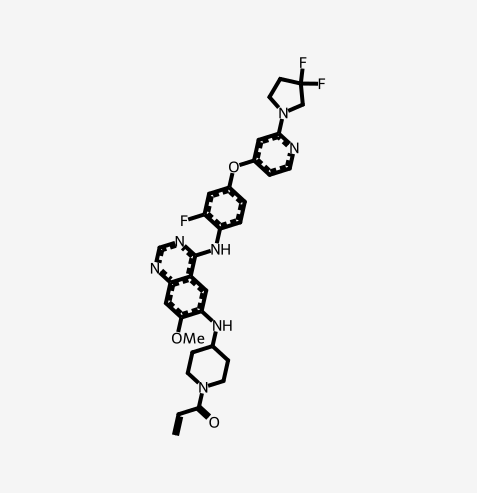 C=CC(=O)N1CCC(Nc2cc3c(Nc4ccc(Oc5ccnc(N6CCC(F)(F)C6)c5)cc4F)ncnc3cc2OC)CC1